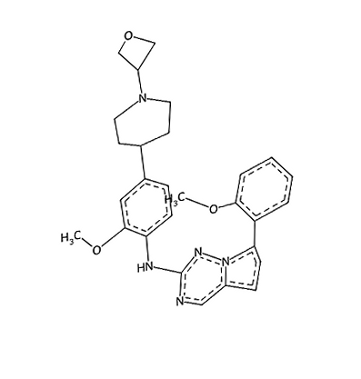 COc1cc(C2CCN(C3COC3)CC2)ccc1Nc1ncc2ccc(-c3ccccc3OC)n2n1